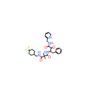 CC(C)(C(=O)NCC1CCC(F)(F)CC1)C(=O)N[C@H](Cc1ccccc1)C(=O)C(=O)NCc1ccccn1